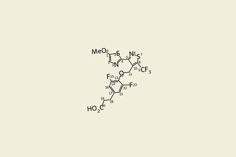 COc1cnc(-c2nsc(C(F)(F)F)c2COc2c(F)cc(CCC(=O)O)cc2F)s1